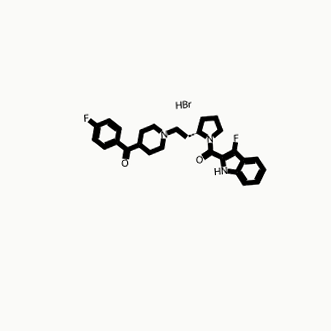 Br.O=C(c1ccc(F)cc1)C1CCN(CC[C@@H]2CCCN2C(=O)c2[nH]c3ccccc3c2F)CC1